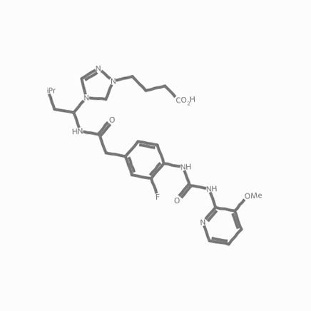 COc1cccnc1NC(=O)Nc1ccc(CC(=O)NC(CC(C)C)N2C=NN(CCCC(=O)O)C2)cc1F